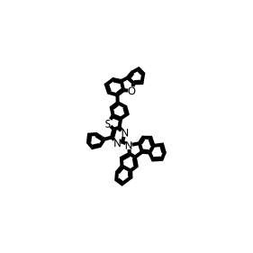 c1ccc(-c2nc(-n3c4cc5ccccc5cc4c4c5ccccc5ccc43)nc3c2sc2cc(-c4cccc5c4oc4ccccc45)ccc23)cc1